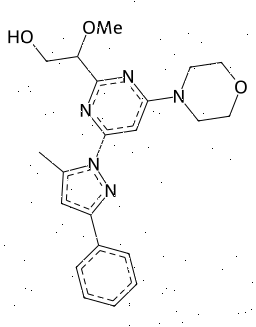 COC(CO)c1nc(N2CCOCC2)cc(-n2nc(-c3ccccc3)cc2C)n1